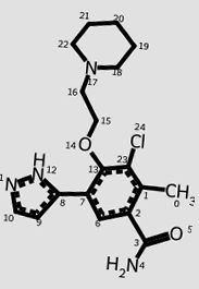 Cc1c(C(N)=O)cc(-c2ccn[nH]2)c(OCCN2CCCCC2)c1Cl